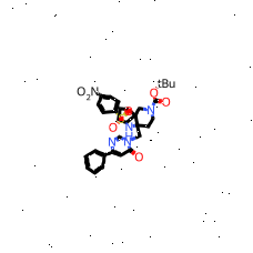 CC(C)(C)OC(=O)N1CCC(Cn2cnc(-c3ccccc3)cc2=O)(NS(=O)(=O)c2ccc([N+](=O)[O-])cc2)C2(CCCC2)C1